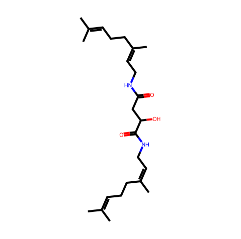 CC(C)=CCCC(C)=CCNC(=O)CC(O)C(=O)NCC=C(C)CCC=C(C)C